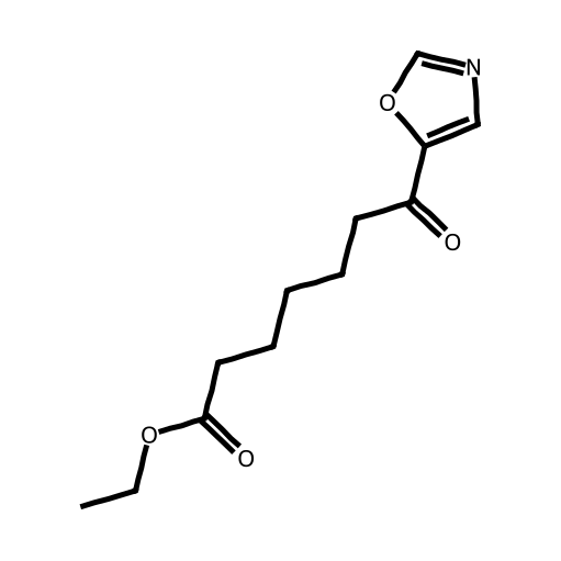 CCOC(=O)CCCCCC(=O)c1cnco1